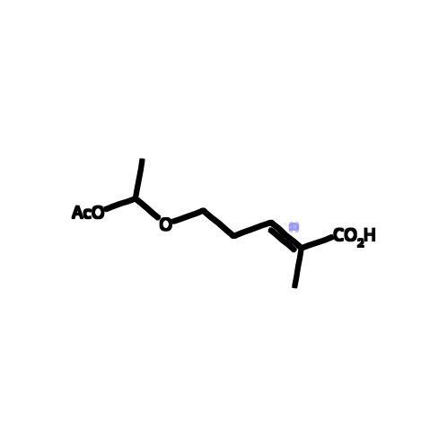 CC(=O)OC(C)OCC/C=C(\C)C(=O)O